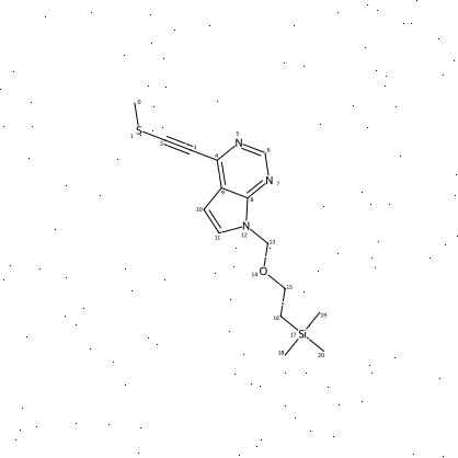 CSC#Cc1ncnc2c1ccn2COCC[Si](C)(C)C